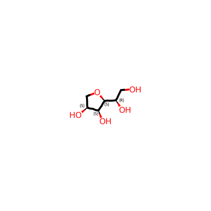 OC[C@@H](O)[C@@H]1OC[C@H](O)[C@@H]1O